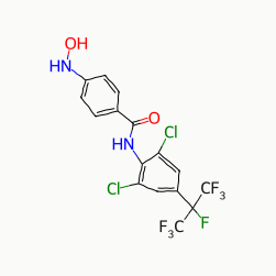 O=C(Nc1c(Cl)cc(C(F)(C(F)(F)F)C(F)(F)F)cc1Cl)c1ccc(NO)cc1